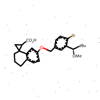 CO[C@@H](c1cc(COc2ccc3c(c2)C2(CCC3)CC2C(=O)O)ccc1Br)C(C)(C)C